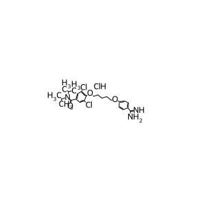 CC(C)N(C(=O)c1cc(Cl)c(OCCCCCOc2ccc(C(=N)N)cc2)c(Cl)c1)C(C)C.Cl